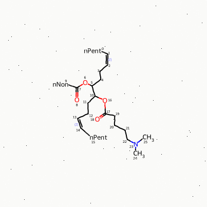 CCCCC/C=C\CCC(OC(=O)CCCCCCCCC)C(CC/C=C\CCCCC)OC(=O)CCCCN(C)C